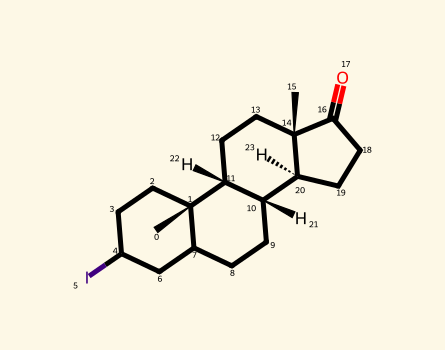 C[C@]12CCC(I)CC1CC[C@@H]1[C@H]2CC[C@]2(C)C(=O)CC[C@@H]12